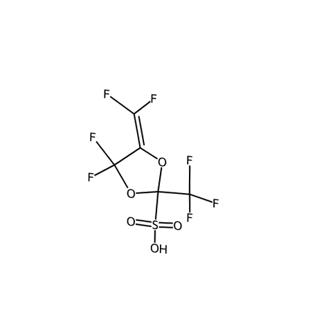 O=S(=O)(O)C1(C(F)(F)F)OC(=C(F)F)C(F)(F)O1